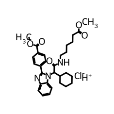 COC(=O)CCCCCNC(=O)C(C1CCCCC1)n1c(-c2ccc(C(=O)OC)cc2)nc2ccccc21.[Cl-].[H+]